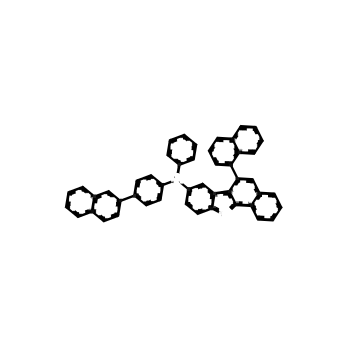 c1ccc(N(c2ccc(-c3ccc4ccccc4c3)cc2)c2ccc3oc4c5ccccc5cc(-c5cccc6ccccc56)c4c3c2)cc1